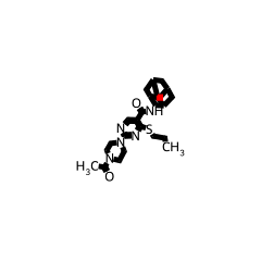 CCCSc1nc(N2CCN(C(C)=O)CC2)ncc1C(=O)NC1C2CC3CC(C2)CC1C3